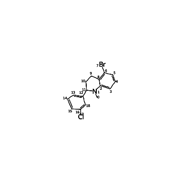 CN1c2cccc(Br)c2CCC1c1cccc(Cl)c1